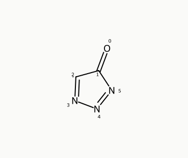 O=C1[C]=NN=N1